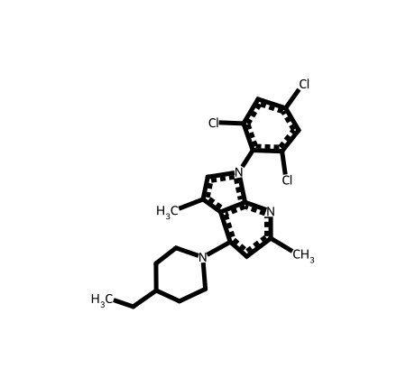 CCC1CCN(c2cc(C)nc3c2c(C)cn3-c2c(Cl)cc(Cl)cc2Cl)CC1